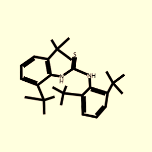 CC(C)(C)c1cccc(C(C)(C)C)c1NC(=S)Nc1c(C(C)(C)C)cccc1C(C)(C)C